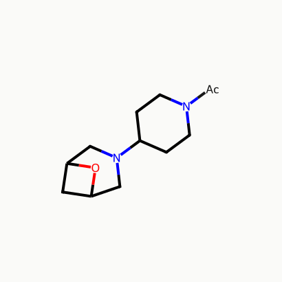 CC(=O)N1CCC(N2CC3CC(C2)O3)CC1